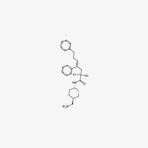 CCC(CC)(C/C(=C/CCc1ccccc1)c1ccccc1)C(=O)N[C@H]1CC[C@H](CN)CC1